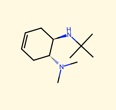 CN(C)[C@@H]1CC=CC[C@H]1NC(C)(C)C